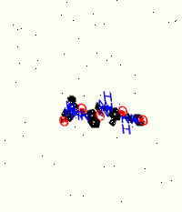 C#Cc1cc(Nc2nccc(Oc3ccc(NC(=O)Nc4cc(C(C)(C)C)nn4-c4ccc(OC)cc4)c4ccccc34)n2)cc(C(=O)NCCN2CCOCC2)c1